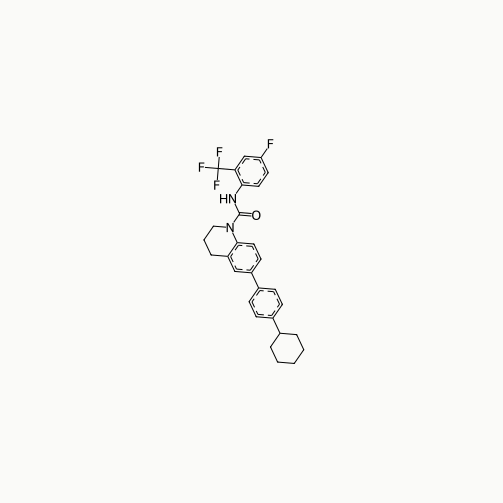 O=C(Nc1ccc(F)cc1C(F)(F)F)N1CCCc2cc(-c3ccc(C4CCCCC4)cc3)ccc21